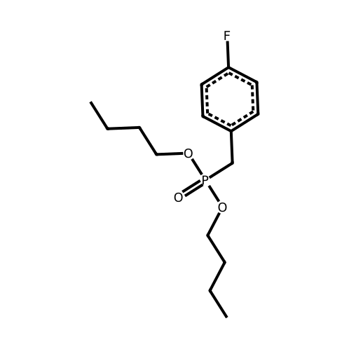 CCCCOP(=O)(Cc1ccc(F)cc1)OCCCC